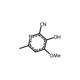 COc1cc(C)nc(C#N)c1O